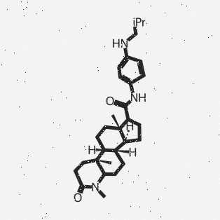 CC(C)CNc1ccc(NC(=O)C2CC[C@H]3[C@@H]4CCC5N(C)C(=O)CC[C@]5(C)[C@@H]4CC[C@]23C)cc1